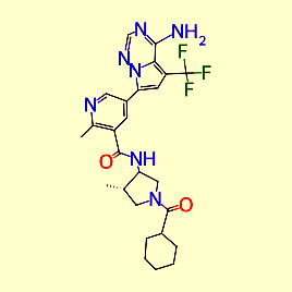 Cc1ncc(-c2cc(C(F)(F)F)c3c(N)ncnn23)cc1C(=O)NC1CN(C(=O)C2CCCCC2)C[C@@H]1C